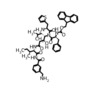 CC[C@H](C)[C@H](NC(=O)C[C@H](O)[C@H](CC(C)C)N(C(=O)[C@H](Cc1ccccc1)NC(=O)OCC1c2ccccc2-c2ccccc21)C(=O)[C@@H](N)Cc1cccs1)C(=O)NC(=O)c1cccc(CN)c1